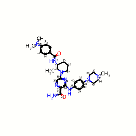 C[C@@H]1[C@H](NC(=O)c2ccc(N(C)C)cc2)CCCN1c1cnc(C(N)=O)c(Nc2ccc(N3CCN(C)CC3)cc2)n1